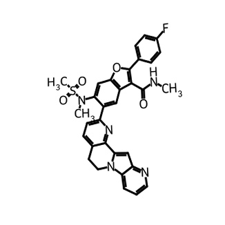 CNC(=O)c1c(-c2ccc(F)cc2)oc2cc(N(C)S(C)(=O)=O)c(-c3ccc4c(n3)-c3cc5ncccc5n3CC4)cc12